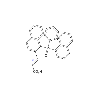 O=C(O)/C=C/c1ccc2ccccc2c1P(=O)(c1ccccn1)c1cccc2ccccc12